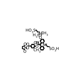 Cc1cc(C(=O)ON2C(=O)CCC2=O)cc(C)c1OC(=O)c1c2ccccc2[n+](CCCS(=O)(=O)O)c2ccc(OC[N+](C)(C)CCCS(=O)(=O)O)cc12